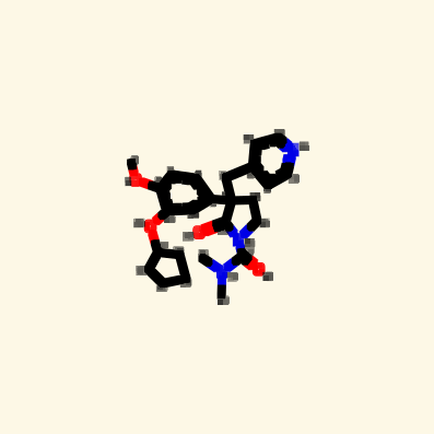 COc1ccc(C2(Cc3ccncc3)CCN(C(=O)N(C)C)C2=O)cc1OC1CCCC1